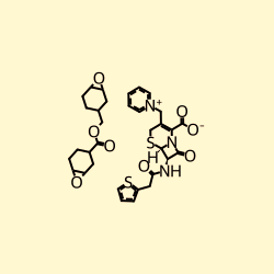 O=C(Cc1cccs1)N[C@@H]1C(=O)N2C(C(=O)[O-])=C(C[n+]3ccccc3)CS[C@H]12.O=C(OCC1CCC2OC2C1)C1CCC2OC2C1